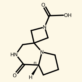 O=C1NCC2(CN(C(=O)O)C2)N2CCC[C@H]12